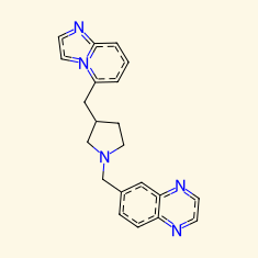 c1cc(CC2CCN(Cc3ccc4nccnc4c3)C2)n2ccnc2c1